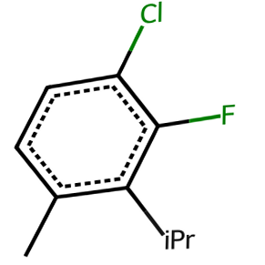 Cc1ccc(Cl)c(F)c1C(C)C